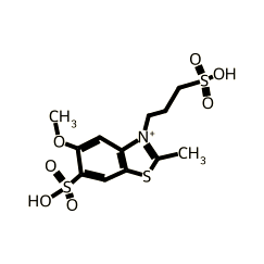 COc1cc2c(cc1S(=O)(=O)O)sc(C)[n+]2CCCS(=O)(=O)O